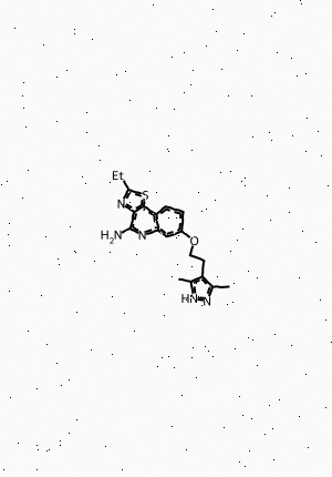 CCc1nc2c(N)nc3cc(OCCc4c(C)n[nH]c4C)ccc3c2s1